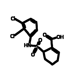 O=C(O)C1=CCCCC1S(=O)(=O)Nc1cccc(Cl)c1Cl